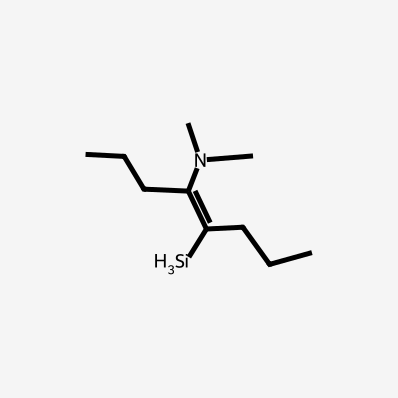 CCCC([SiH3])=C(CCC)N(C)C